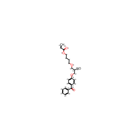 C=CC(=O)OCCCCOCC(COc1ccc(C(=O)c2ccccc2)cc1)N=O